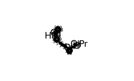 CC(C)OC(=O)CCc1ccccc1OCCCCC[C@H]1CC[C@H](NS(=O)(=O)c2ccccc2)CC1